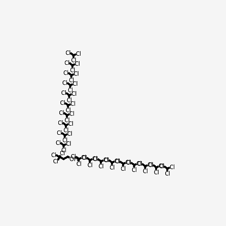 ClC(Cl)Cl.ClC(Cl)Cl.ClC(Cl)Cl.ClC(Cl)Cl.ClC(Cl)Cl.ClC(Cl)Cl.ClC(Cl)Cl.ClC(Cl)Cl.ClC(Cl)Cl.ClC(Cl)Cl.ClC(Cl)Cl.ClC(Cl)Cl.ClC(Cl)Cl.ClC(Cl)Cl.ClC(Cl)Cl.ClC(Cl)Cl.ClC(Cl)Cl.ClC(Cl)Cl.ClC(Cl)Cl.OCCC(Cl)(Cl)Cl